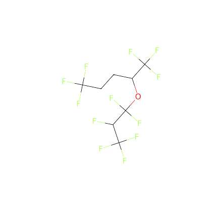 FC(C(F)(F)F)C(F)(F)OC(CCC(F)(F)F)C(F)(F)F